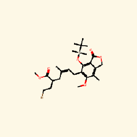 COC(=O)C(CCBr)CC(C)=CCc1c(OC)c(C)c2c(c1O[Si](C)(C)C(C)(C)C)C(=O)OC2